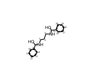 OC(NCCCNC(O)c1ccccc1)c1ccccc1